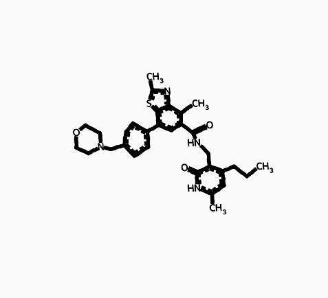 CCCc1cc(C)[nH]c(=O)c1CNC(=O)c1cc(-c2ccc(CN3CCOCC3)cc2)c2sc(C)nc2c1C